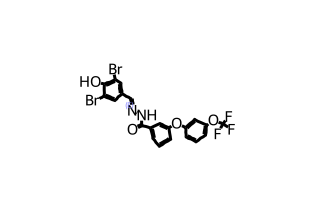 O=C(N/N=C/c1cc(Br)c(O)c(Br)c1)c1cccc(Oc2cccc(OC(F)(F)F)c2)c1